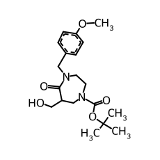 COc1ccc(CN2CCN(C(=O)OC(C)(C)C)CC(CO)C2=O)cc1